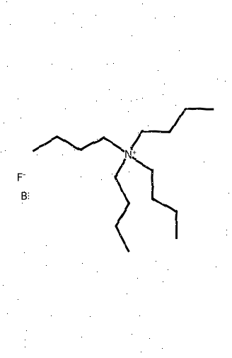 CCCC[N+](CCCC)(CCCC)CCCC.[B].[F-]